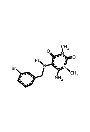 CCN(Cc1cccc(Br)c1)c1c(N)n(C)c(=O)n(C)c1=O